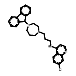 Clc1ccc2c(NCCCN3CCCN(C4c5ccccc5-c5ccccc54)CC3)ccnc2c1